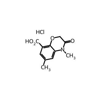 Cc1cc(C(=O)O)c2c(c1)N(C)C(=O)CO2.Cl